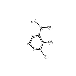 Cc1cccc(N(C)[SiH3])c1C